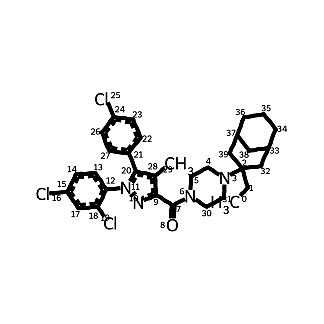 CCC1(N2CCN(C(=O)c3nn(-c4ccc(Cl)cc4Cl)c(-c4ccc(Cl)cc4)c3C)CC2)CC2CCCC(C2)C1